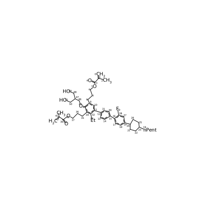 C=C(C)C(=O)OCCCc1cc(-c2ccc(-c3ccc(C4CCC(CCCCC)CC4)cc3F)cc2)c(CC)c(CCCOC(=O)C(=C)C)c1OCC(CO)CO